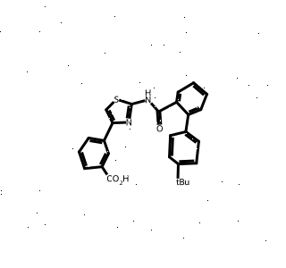 CC(C)(C)c1ccc(-c2ccccc2C(=O)Nc2nc(-c3cccc(C(=O)O)c3)cs2)cc1